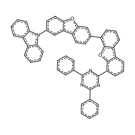 c1ccc(-c2nc(-c3ccccc3)nc(-c3cccc4c3oc3c(-c5ccc6c(c5)oc5ccc(-n7c8ccccc8c8ccccc87)cc56)cccc34)n2)cc1